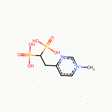 C[n+]1ccc(CC(P(=O)(O)O)P(=O)(O)O)nc1